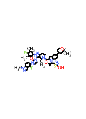 Cc1cc(-n2nc3c(c2-n2ccn(-c4ccc5c(cnn5C)c4F)c2=O)[C@H](C)N(C(=O)c2cc4cc(C5CCOC(C)(C)C5)ccc4n2C2(c4nnc(O)s4)CC2)CC3)cc(C)c1F